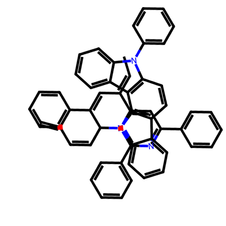 C=C/C=C\C(/C(=C\C(=C/C)c1cc(-c2ccccc2)nc(-c2ccccc2)n1)c1ccccc1)n1c2ccccc2c2ccc3c(c4ccccc4n3-c3ccccc3)c21